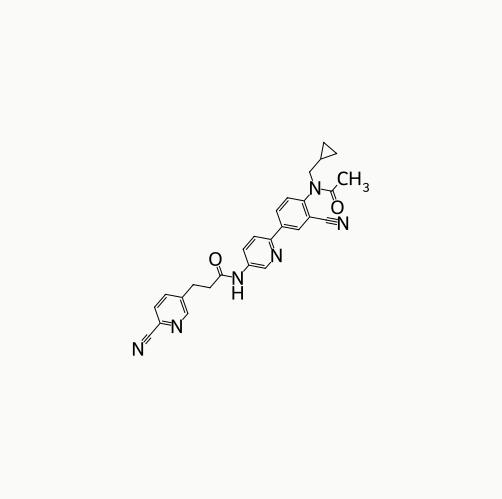 CC(=O)N(CC1CC1)c1ccc(-c2ccc(NC(=O)CCc3ccc(C#N)nc3)cn2)cc1C#N